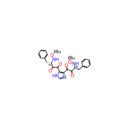 CC(C)(C)ON[C@@H](Cc1ccccc1)C(=O)C(=O)c1nc[nH]c1C(=O)C(=O)[C@H](Cc1ccccc1)NOC(C)(C)C